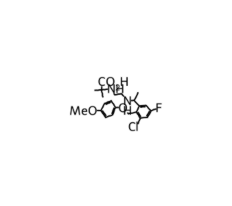 COc1ccc(OCc2c(Cl)cc(F)cc2C(C)NCCNC(C)(C)C(=O)O)cc1